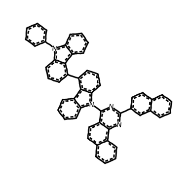 c1ccc(-n2c3ccccc3c3c(-c4cccc5c4c4ccccc4n5-c4nc(-c5ccc6ccccc6c5)nc5c4ccc4ccccc45)cccc32)cc1